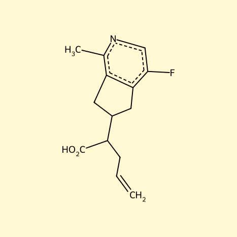 C=CCC(C(=O)O)C1Cc2c(F)cnc(C)c2C1